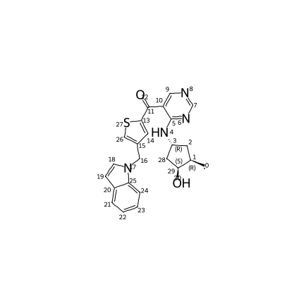 [CH2][C@@H]1C[C@@H](Nc2ncncc2C(=O)c2cc(Cn3ccc4ccccc43)cs2)C[C@@H]1O